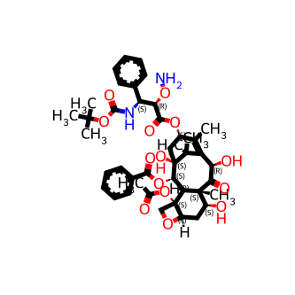 CC(=O)O[C@@]12CO[C@@H]1C[C@H](O)[C@@]1(C)C(=O)[C@H](O)C3=C(C)[C@@H](OC(=O)[C@H](ON)[C@@H](NC(=O)OC(C)(C)C)c4ccccc4)C[C@@](O)([C@@H](OC(=O)c4ccccc4)[C@H]21)C3(C)C